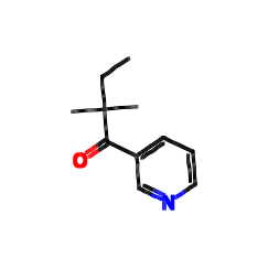 CCC(C)(C)C(=O)c1cccnc1